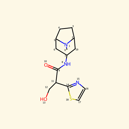 CN1C2CCC1CC(NC(=O)C(CO)c1nccs1)C2